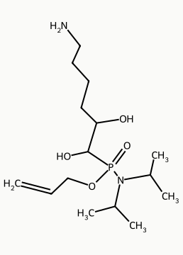 C=CCOP(=O)(C(O)C(O)CCCCN)N(C(C)C)C(C)C